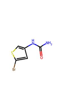 NC(=O)Nc1csc(Br)c1